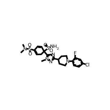 CN(C)S(=O)(=O)C1=CCC(c2nc(C3CCN(c4ccc(Cl)cc4F)CC3)nn2C)(S(N)(=O)=O)C=C1